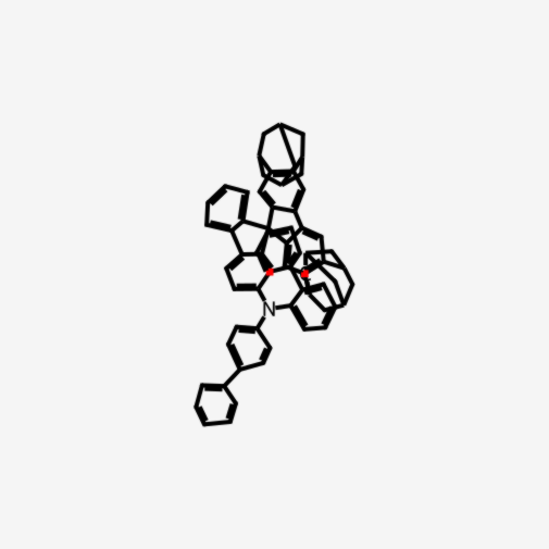 c1ccc(-c2ccc(N(c3ccc4c(c3)C3(c5ccccc5-4)c4cc5c(cc4-c4cc6c(cc43)C3CC4CC(CC6C4)C3)C3CC4CC(C3)CC5C4)c3ccccc3-c3ccccc3)cc2)cc1